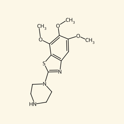 COc1cc2nc(N3CCNCC3)sc2c(OC)c1OC